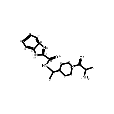 CC(N)C(=O)N1CCC(C(C)NC(=O)c2nc3ccccc3[nH]2)CC1